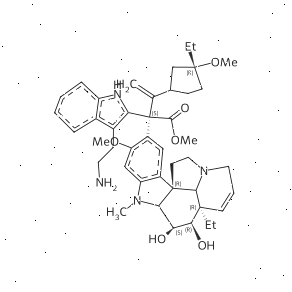 C=C(C1CC[C@@](CC)(OC)C1)[C@](C(=O)OC)(c1cc2c(cc1OC)N(C)C1[C@H](O)[C@H](O)[C@]3(CC)C=CCN4CC[C@]21C43)c1[nH]c2ccccc2c1CCN